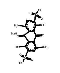 Nc1cc(S(=O)(=O)O)c(O)c2c1C(=O)c1c(O)c(S(=O)(=O)O)cc(N)c1C2=O.[NaH]